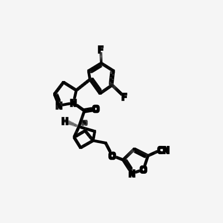 N#Cc1cc(OCC23CC(C2)[C@@H](C(=O)N2N=CCC2c2cc(F)cc(F)c2)C3)no1